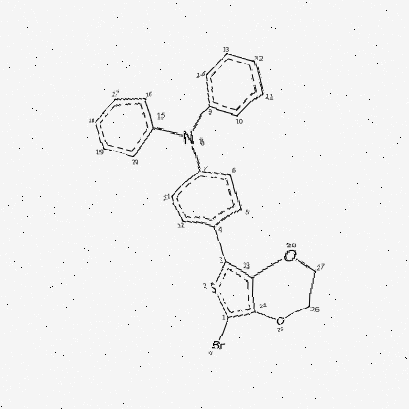 Brc1sc(-c2ccc(N(c3ccccc3)c3ccccc3)cc2)c2c1OCCO2